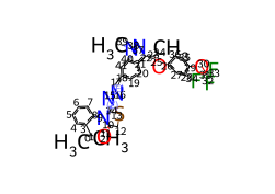 CC(C)c1ccccc1N1C(=O)CS/C1=N\N=C\c1ccc2c(C(C)Oc3ccc(OC(F)(F)F)cc3)nn(C)c2c1